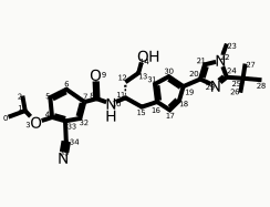 CC(C)Oc1ccc(C(=O)N[C@H](CCO)Cc2ccc(-c3cn(C)c(C(C)(C)C)n3)cc2)cc1C#N